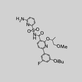 COCC(C)Oc1nc(-c2cc(F)cc(OCC(C)C)c2)ccc1C(=O)NS(=O)(=O)c1cccc(N)n1